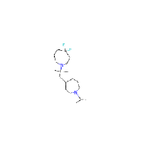 CC(C)N1CCCC(CC(C)(C)N2CCCC(F)(F)CC2)CC1